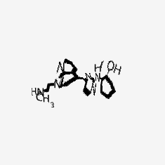 CNCCn1cc(-c2ccnc(N[C@@H]3CCCC[C@H]3O)n2)c2cccnc21